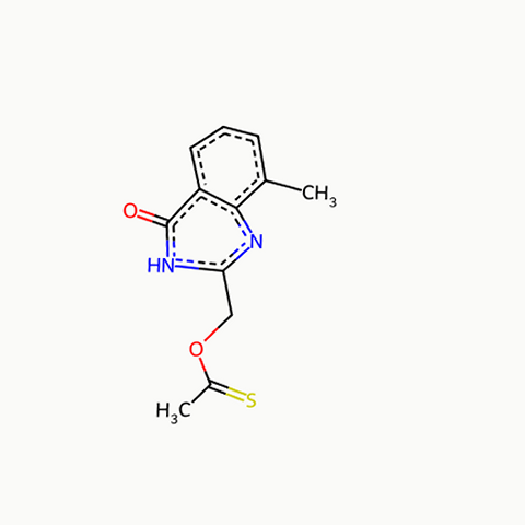 CC(=S)OCc1nc2c(C)cccc2c(=O)[nH]1